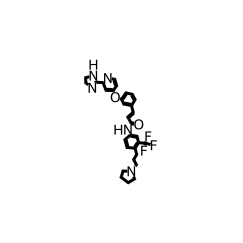 O=C(/C=C/c1cccc(Oc2ccnc(C3=NCCN3)c2)c1)Nc1ccc(CCCN2CCCC2)c(C(F)(F)F)c1